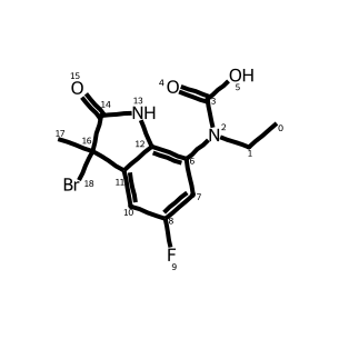 CCN(C(=O)O)c1cc(F)cc2c1NC(=O)C2(C)Br